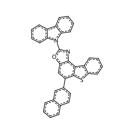 c1ccc2cc(-c3cc4oc(-n5c6ccccc6c6ccccc65)nc4c4c3sc3ccccc34)ccc2c1